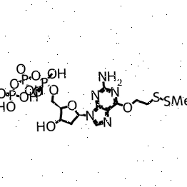 CSSCCOc1nc(N)nc2c1ncn2[C@H]1CC(O)[C@@H](COP(=O)(O)OP(=O)(O)OP(=O)(O)O)O1